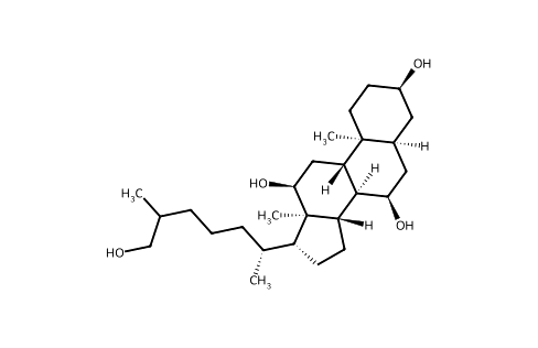 CC(CO)CCC[C@@H](C)[C@H]1CC[C@H]2[C@@H]3[C@H](O)C[C@@H]4C[C@H](O)CC[C@]4(C)[C@H]3C[C@H](O)[C@]12C